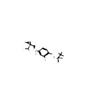 CC1(C)OB(c2ccc(NC(=O)C3(C(F)F)CC3)cc2F)OC1(C)C